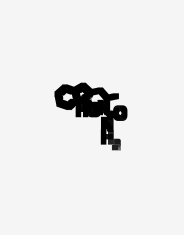 CC(Cc1cc2ccccc2s1)N(O)C(N)=O